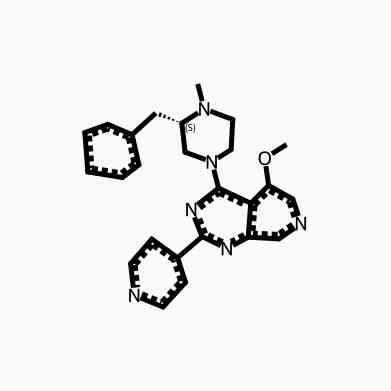 COc1cncc2nc(-c3ccncc3)nc(N3CCN(C)[C@@H](Cc4ccccc4)C3)c12